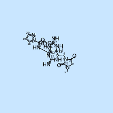 CN1CC(=O)N(CC2NC(=N)N3CC(NC(=O)n4cccn4)C(O)(O)[C@@]34NC(=N)N[C@@H]24)C1=O